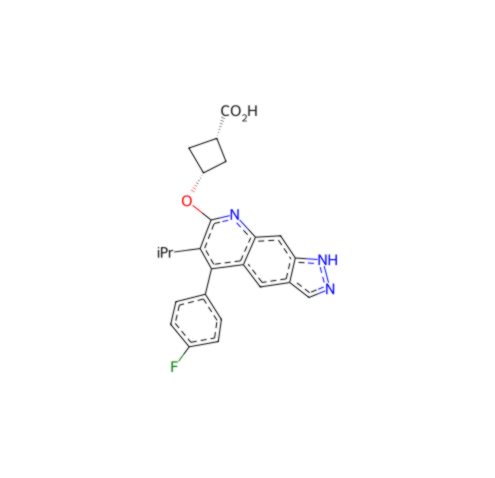 CC(C)c1c(O[C@H]2C[C@@H](C(=O)O)C2)nc2cc3[nH]ncc3cc2c1-c1ccc(F)cc1